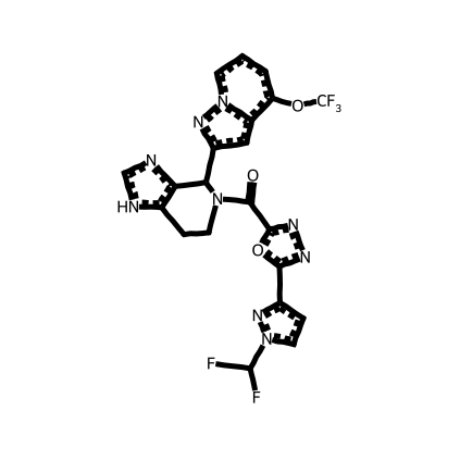 O=C(c1nnc(-c2ccn(C(F)F)n2)o1)N1CCc2[nH]cnc2C1c1cc2c(OC(F)(F)F)cccn2n1